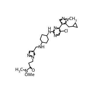 CON(C)C(=O)CCn1cc(CNC2CCC(Nc3ncc(Cl)c(-c4cnn(C)c4CC4CC4)n3)CC2)cn1